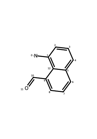 [N]c1cccc2cccc(C=O)c12